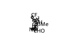 COc1cc(S(=O)(=O)N(OC=O)c2ccncn2)c(F)cc1N[C@H]1CC[C@H](c2cccc(C(F)(F)F)c2)C[C@@H]1N(C)C